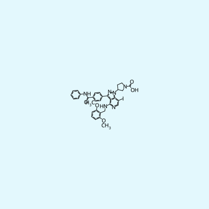 COc1cccc(OC)c1CNc1ncc(I)c2c1c(-c1ccc(C(=O)Nc3ccccc3)cc1)nn2C1CCN(C(=O)O)C1